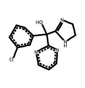 OC(C1=NCCN1)(c1cccc(Cl)c1)c1ncccn1